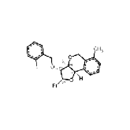 CC[C@H]1O[C@@H]2c3cccc(C)c3CO[C@@H]2[C@H]1OCc1ccccc1F